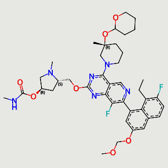 CCc1c(F)ccc2cc(OCOC)cc(-c3ncc4c(N5CCC[C@@](C)(OC6CCCCO6)C5)nc(OC[C@@H]5C[C@@H](OC(=O)NC)CN5C)nc4c3F)c12